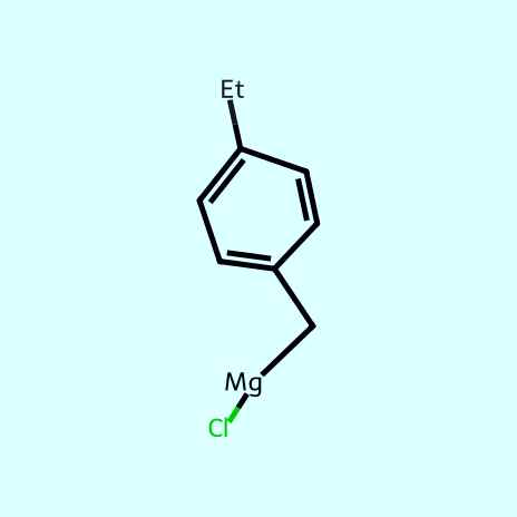 CCc1ccc([CH2][Mg][Cl])cc1